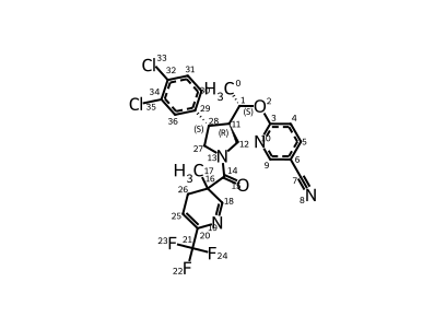 C[C@H](Oc1ccc(C#N)cn1)[C@H]1CN(C(=O)C2(C)C=NC(C(F)(F)F)=CC2)C[C@@H]1c1ccc(Cl)c(Cl)c1